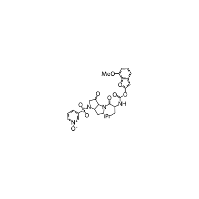 COc1cccc2cc(OC(=O)NC(CC(C)C)C(=O)N3CCC4C3C(=O)CN4S(=O)(=O)c3ccc[n+]([O-])c3)oc12